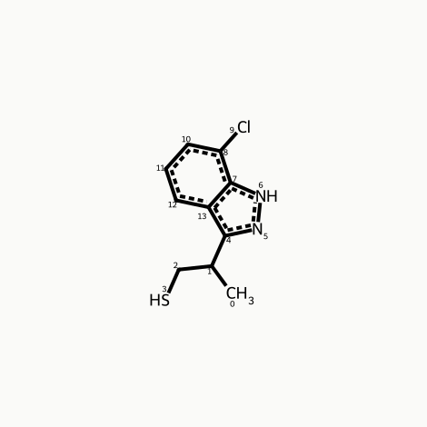 CC(CS)c1n[nH]c2c(Cl)cccc12